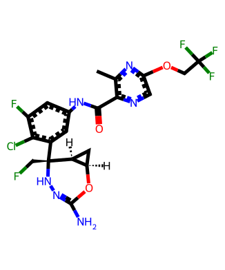 Cc1nc(OCC(F)(F)F)cnc1C(=O)Nc1cc(F)c(Cl)c([C@@]2(CF)NN=C(N)O[C@@H]3C[C@@H]32)c1